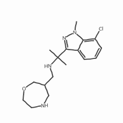 Cn1nc(C(C)(C)NCC2CNCCOC2)c2cccc(Cl)c21